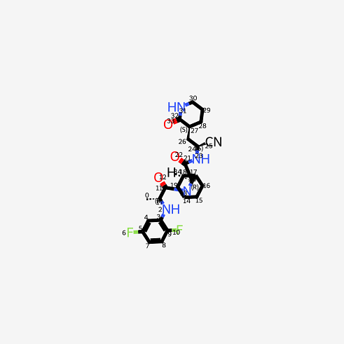 C[C@@H](Nc1cc(F)ccc1F)C(=O)N1C2CCC(CC2)[C@@H]1C(=O)N[C@H](C#N)C[C@@H]1CCCNC1=O